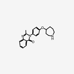 Cc1nc2ccccc2c(=O)n1-c1ccc(OC2CCCNCC2)cc1